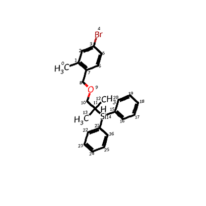 Cc1cc(Br)ccc1COCC(C)(C)[SiH](c1ccccc1)c1ccccc1